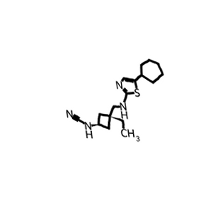 CC[C@]1(CNc2ncc(C3CCCCC3)s2)C[C@H](NC#N)C1